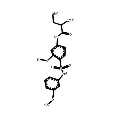 CCOc1cc(NC(=O)C(COC)C(=O)O)ccc1S(=O)(=O)Nc1cccc(OC(F)(F)F)c1